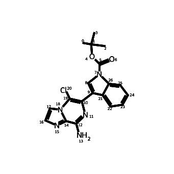 CC(C)(C)OC(=O)n1cc(-c2nc(N)c3nccn3c2Cl)c2ccccc21